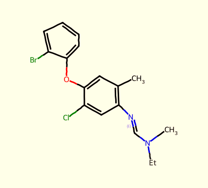 CCN(C)/C=N/c1cc(Cl)c(Oc2ccccc2Br)cc1C